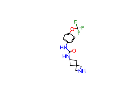 O=C(Nc1ccc(OC(F)(F)F)cc1)NC1CC2(CNC2)C1